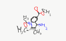 CC[C@H]1[C@@H](C)[C@H](N)c2cc(C(=O)OC)ccc2N1C(C)=O